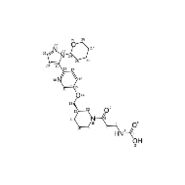 O=C(O)NCCC(=O)N1CCC[C@@H](COc2ccc(-c3ccnn3C3CCCCO3)nc2)C1